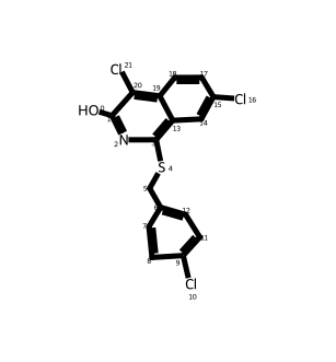 Oc1nc(SCc2ccc(Cl)cc2)c2cc(Cl)ccc2c1Cl